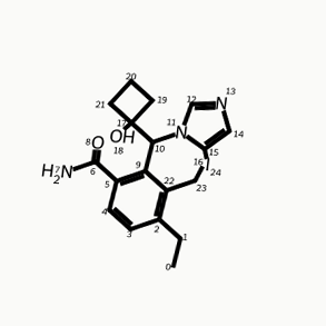 CCc1ccc(C(N)=O)c(C(n2cncc2I)C2(O)CCC2)c1CC